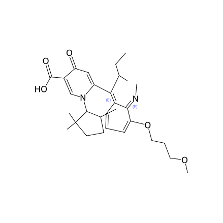 CCC(C)/C(=C1/C=CC=C(OCCCOC)/C1=N/C)c1cc(=O)c(C(=O)O)cn1C1C(C)CCC1(C)C